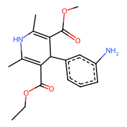 CCOC(=O)C1=C(C)NC(C)=C(C(=O)OC)C1c1cccc(N)c1